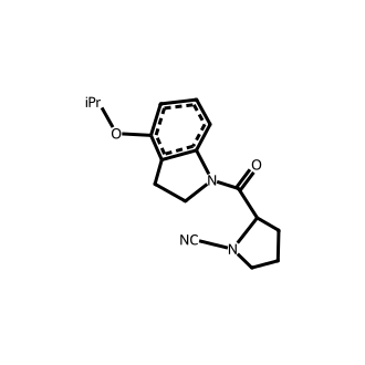 CC(C)Oc1cccc2c1CCN2C(=O)C1CCCN1C#N